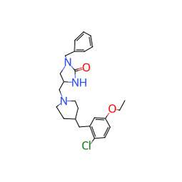 CCOc1ccc(Cl)c(CC2CCN(CC3CN(Cc4ccccc4)C(=O)N3)CC2)c1